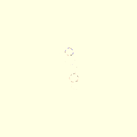 Nc1ncnc2c1CCN(Cc1ccc3c(c1)OCO3)C2